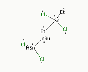 CCC[CH2][SnH]([Cl])[Cl].C[CH2][Sn]([Cl])([Cl])[CH2]C